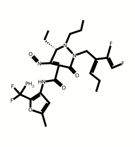 CC/C=C(CN1C(=O)C(C(=O)Nc2cc(C)oc2C(F)(F)P)=C(N=O)[C@H](CC)N1CCC)\C(F)=C\F